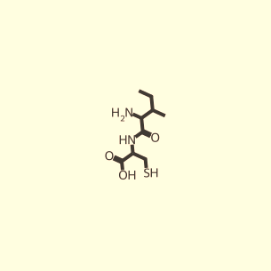 CCC(C)C(N)C(=O)NC(CS)C(=O)O